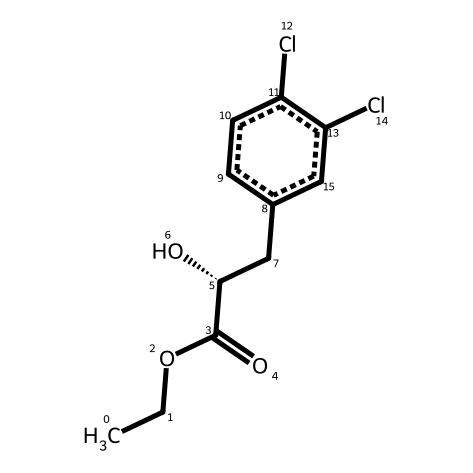 CCOC(=O)[C@H](O)Cc1ccc(Cl)c(Cl)c1